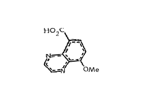 COc1ccc(C(=O)O)c2nccnc12